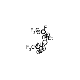 CCC(C1CCN(C(=O)c2ncc(C(F)(F)F)cc2S(C)(=O)=O)CC1)S(=O)(=O)c1cc(F)cc(OC(F)(F)F)c1